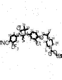 CCc1cc(N2C(=S)N(c3ccc(C#N)c(C(F)(F)F)c3)C(=O)C2(C)C)ccc1OCC(C)N1C[C@@H](C)N(C(=O)OC(C)(C)C)[C@@H](C)C1